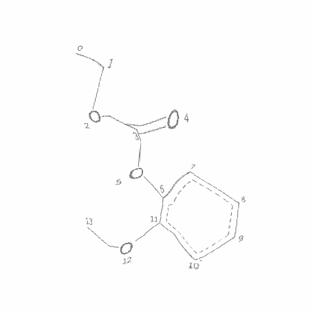 CCOC(=O)Oc1ccc[c]c1OC